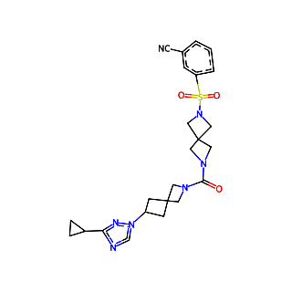 N#Cc1cccc(S(=O)(=O)N2CC3(CN(C(=O)N4CC5(CC(n6cnc(C7CC7)n6)C5)C4)C3)C2)c1